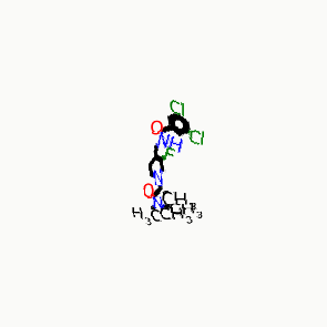 CCN(C(=O)CN1CCC(CNC(=O)c2cc(Cl)cc(Cl)c2)C(F)C1)C(C)(C)C